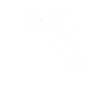 Cn1c(C(F)(F)F)cc(=O)n(-c2ccc3snc(CNP(=O)(O)O)c3c2)c1=O